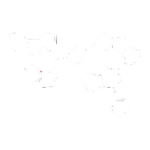 c1ccc(-c2nc(-c3cccc4oc5ccc(-c6ccc7c(c6)c6ccc8c9ccccc9n(-c9ccccc9)c8c6n7-c6ccccc6)cc5c34)nc3ccccc23)cc1